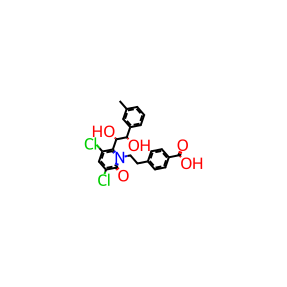 Cc1cccc(C(O)C(O)c2c(Cl)cc(Cl)c(=O)n2CCc2ccc(C(=O)O)cc2)c1